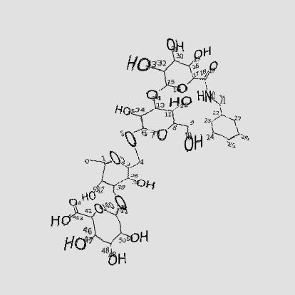 CC1OC(COC2OC(CO)C(O)C(OC3OC(C(=O)NCC4CCCCC4)C(O)C(O)C3O)C2O)C(O)C(OC2OC(C(=O)O)C(O)C(O)C2O)C1O